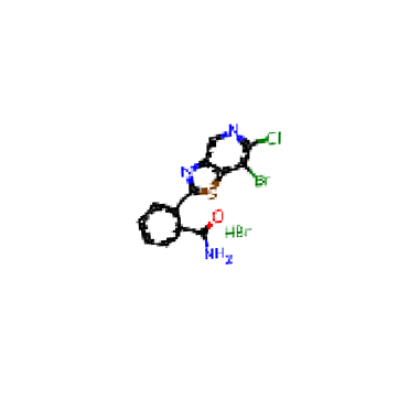 Br.NC(=O)c1ccccc1-c1nc2cnc(Cl)c(Br)c2s1